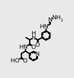 CC(NC(=O)c1cccc(NC=NN)c1)C(=O)NC(CC(=O)O)c1cccnc1